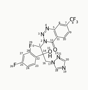 CC(n1nnc2cc(C(F)(F)F)ccc2c1=O)C(O)(Cn1cncn1)c1ccc(F)cc1F